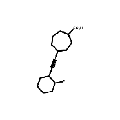 O=C(O)C1CCCC(C#CC2CCCCC2F)CC1